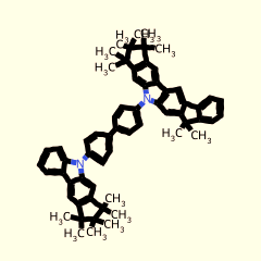 CC1(C)c2ccccc2-c2cc3c4cc5c(cc4n(-c4ccc(-c6ccc(-n7c8ccccc8c8cc9c(cc87)C(C)(C)C(C)(C)C9(C)C)cc6)cc4)c3cc21)C(C)(C)C(C)(C)C5(C)C